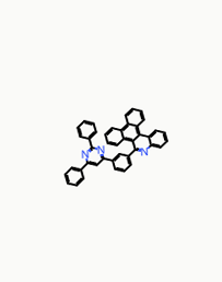 c1ccc(-c2cc(-c3cccc(-c4nc5ccccc5c5c6ccccc6c6ccccc6c45)c3)nc(-c3ccccc3)n2)cc1